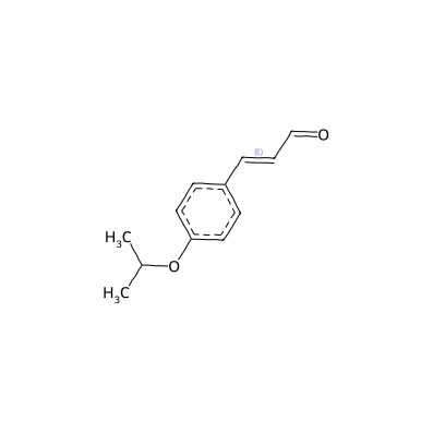 CC(C)Oc1ccc(/C=C/C=O)cc1